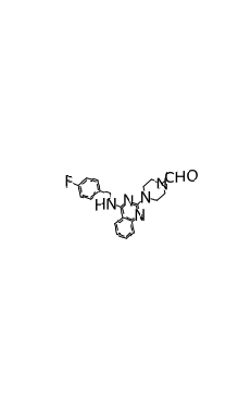 O=CN1CCN(c2nc(NCc3ccc(F)cc3)c3ccccc3n2)CC1